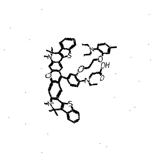 CCN(CC)c1ccc(C)cc1OCCOc1cc(C2=c3cc4c(cc3Oc3cc5c(cc32)-c2sc3ccccc3c2C(C)(C)N5C)=[N+](C)C(C)(C)c2c-4sc3ccccc23)ccc1N(CC)CC(=O)O